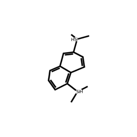 C[SiH](C)c1ccc2c([SiH](C)C)cccc2c1